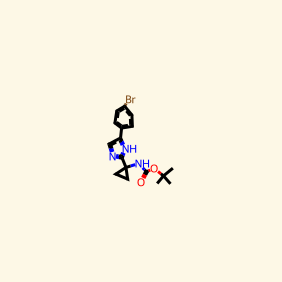 CC(C)(C)OC(=O)NC1(c2ncc(-c3ccc(Br)cc3)[nH]2)CC1